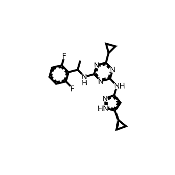 CC(Nc1nc(Nc2cc(C3CC3)[nH]n2)nc(C2CC2)n1)c1c(F)cccc1F